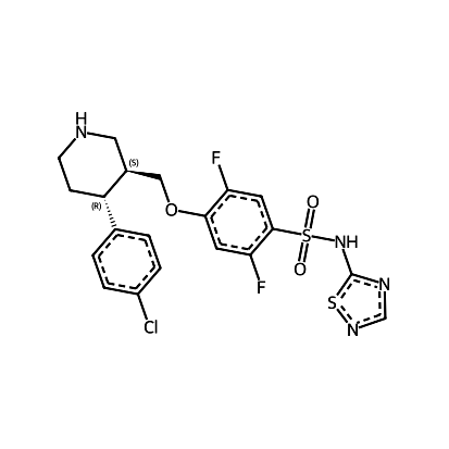 O=S(=O)(Nc1ncns1)c1cc(F)c(OC[C@@H]2CNCC[C@H]2c2ccc(Cl)cc2)cc1F